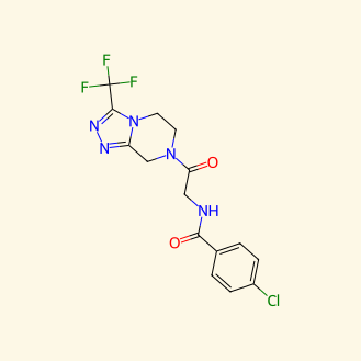 O=C(NCC(=O)N1CCn2c(nnc2C(F)(F)F)C1)c1ccc(Cl)cc1